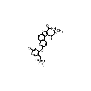 C[C@@H]1CNc2c(sc3ccc4nc(Oc5nc(Cl)ncc5CS(C)(=O)=O)ccc4c23)C(=O)N1